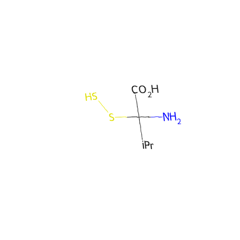 CC(C)C(N)(SS)C(=O)O